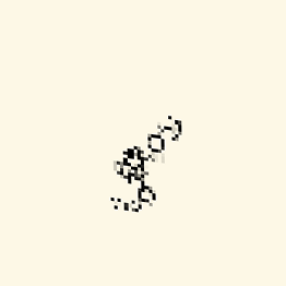 COc1cc(-c2cc(C(=O)NC3CCC(Nc4nccs4)CC3)c3c(N)ncnn23)ccn1